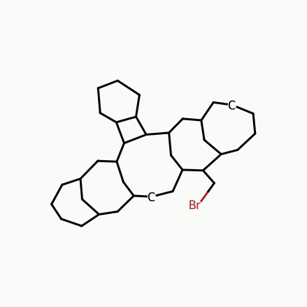 BrCC1C2CCCCCC(C2)CC2CC1CCC1CC3CCCCC(C3)CC(C1)C1C3CCCCC3C21